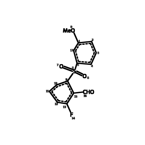 COc1cccc(S(=O)(=O)c2cccc(F)c2C=O)c1